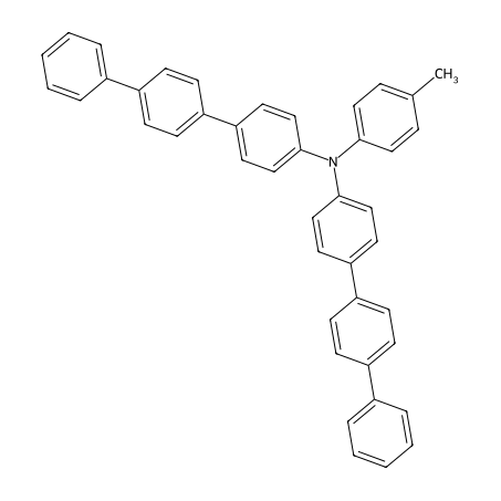 Cc1ccc(N(c2ccc(-c3ccc(-c4ccccc4)cc3)cc2)c2ccc(-c3ccc(-c4ccccc4)cc3)cc2)cc1